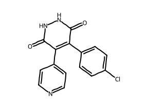 O=c1[nH][nH]c(=O)c(-c2ccc(Cl)cc2)c1-c1ccncc1